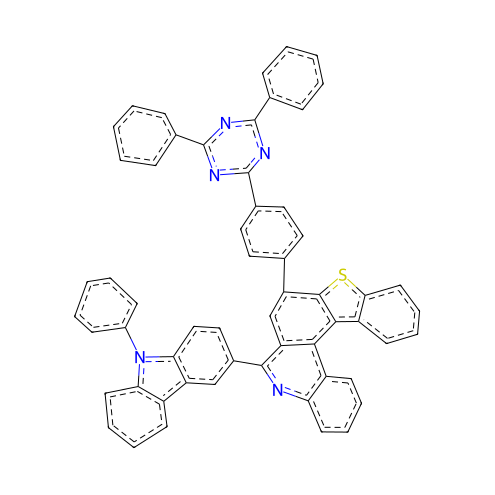 c1ccc(-c2nc(-c3ccccc3)nc(-c3ccc(-c4cc5c(-c6ccc7c(c6)c6ccccc6n7-c6ccccc6)nc6ccccc6c5c5c4sc4ccccc45)cc3)n2)cc1